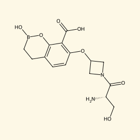 N[C@@H](CO)C(=O)N1CC(Oc2ccc3c(c2C(=O)O)OB(O)CC3)C1